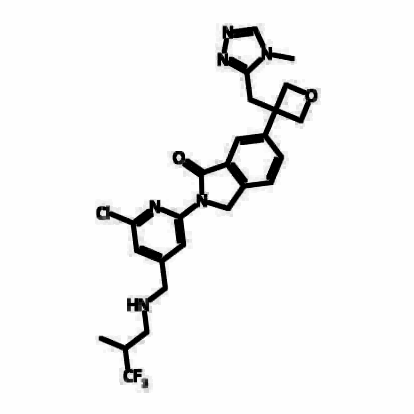 CC(CNCc1cc(Cl)nc(N2Cc3ccc(C4(Cc5nncn5C)COC4)cc3C2=O)c1)C(F)(F)F